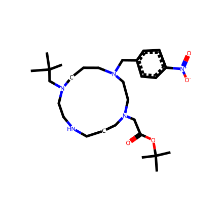 CC(C)(C)CN1CCCN(Cc2ccc([N+](=O)[O-])cc2)CCN(CC(=O)OC(C)(C)C)CCCNCC1